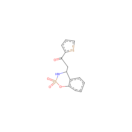 O=C(CC1NS(=O)(=O)Oc2ccccc21)c1cccs1